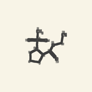 CS(=O)(=O)N1CCCC1C(=O)OCC#N